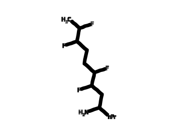 CCCC(N)CC(F)C(F)CCC(F)C(C)F